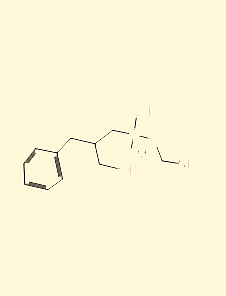 CO[Si](C)(CC(CO)Cc1ccccc1)OCN